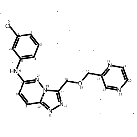 Clc1cccc(Nc2ccc3nnc(COCc4cnccn4)n3n2)c1